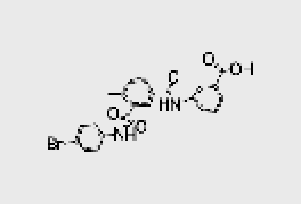 Cc1ccc(C(=O)Nc2cccc(C(=O)O)c2)cc1S(=O)(=O)Nc1ccc(Br)cc1